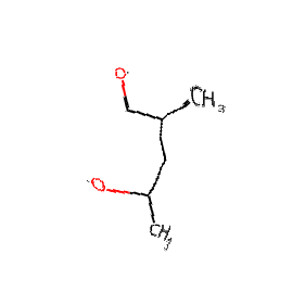 CC([O])CC(C)C[O]